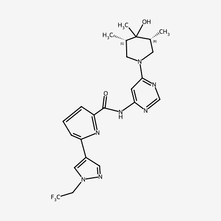 C[C@@H]1CN(c2cc(NC(=O)c3cccc(-c4cnn(CC(F)(F)F)c4)n3)ncn2)C[C@H](C)C1(C)O